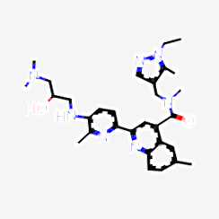 CCn1ncc(CN(C)C(=O)c2cc(-c3ccc(NCC(O)CN(C)C)c(C)n3)nc3ccc(C)cc23)c1C